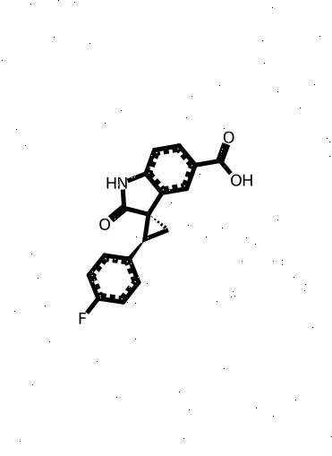 O=C(O)c1ccc2c(c1)[C@]1(C[C@H]1c1ccc(F)cc1)C(=O)N2